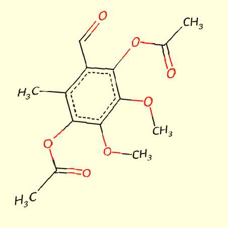 COc1c(OC(C)=O)c(C)c(C=O)c(OC(C)=O)c1OC